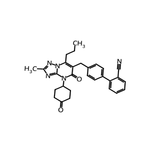 CCCc1c(Cc2ccc(-c3ccccc3C#N)cc2)c(=O)n(C2CCC(=O)CC2)c2nc(C)nn12